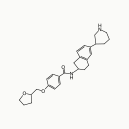 O=C(NC1CCc2cc(C3CCCNC3)ccc2C1)c1ccc(OCC2CCCO2)cc1